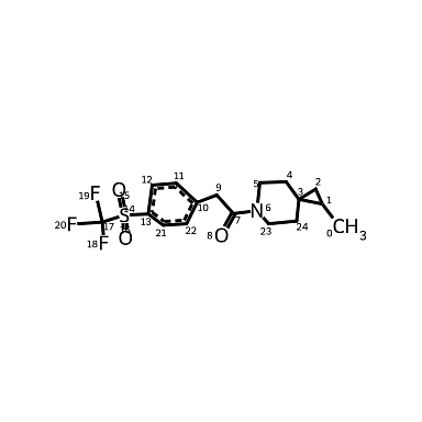 CC1CC12CCN(C(=O)Cc1ccc(S(=O)(=O)C(F)(F)F)cc1)CC2